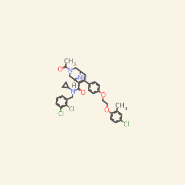 CC(=O)N1CC2CC(c3ccc(OCCOc4ccc(Cl)cc4C)cc3)=C(C(=O)N(Cc3cccc(Cl)c3Cl)C3CC3)[C@@H](C1)N2